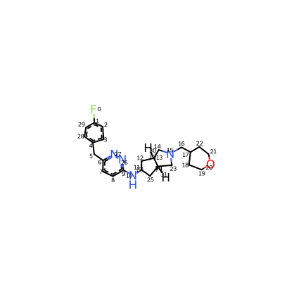 Fc1ccc(Cc2ccc(N[C@H]3C[C@@H]4CN(CC5CCOCC5)C[C@@H]4C3)nn2)cc1